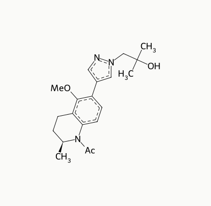 COc1c(-c2cnn(CC(C)(C)O)c2)ccc2c1CC[C@H](C)N2C(C)=O